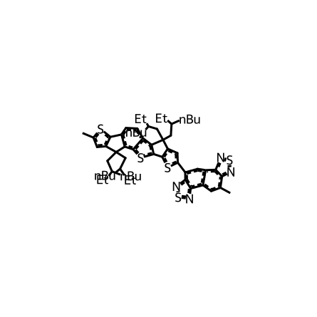 CCCCC(CC)CC1(CC(CC)CCCC)c2cc(-c3cc4c(cc(C)c5nsnc54)c4nsnc34)sc2-c2sc3c4c(ccc3c21)-c1sc(C)cc1C4(CC(CC)CCCC)CC(CC)CCCC